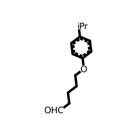 CC(C)c1ccc(OCCCCC=O)cc1